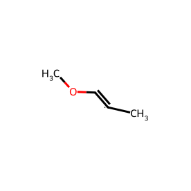 C/[C]=C/OC